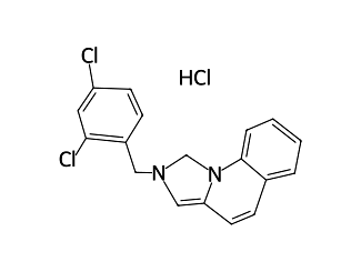 Cl.Clc1ccc(CN2C=C3C=Cc4ccccc4N3C2)c(Cl)c1